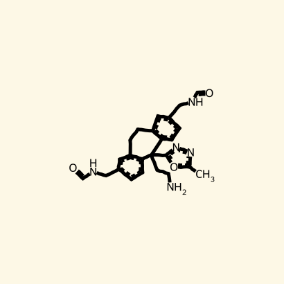 Cc1nnc(C2(CCN)c3ccc(CNC=O)cc3CCc3cc(CNC=O)ccc32)o1